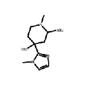 CCCCC1CC(O)(c2nccn2C)CCN1C